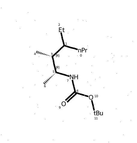 CCCC(CC)[C@@H](C)[C@@H](C)NC(=O)OC(C)(C)C